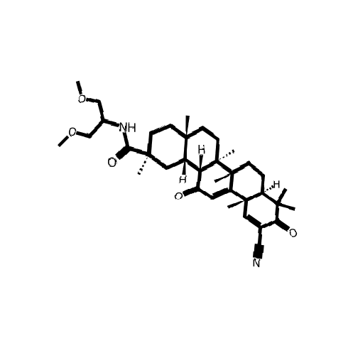 COCC(COC)NC(=O)[C@@]1(C)CC[C@]2(C)CC[C@]3(C)[C@H](C(=O)C=C4[C@@]5(C)C=C(C#N)C(=O)C(C)(C)[C@@H]5CC[C@]43C)[C@@H]2C1